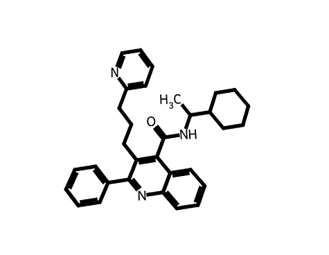 CC(NC(=O)c1c(CCCc2ccccn2)c(-c2ccccc2)nc2ccccc12)C1CCCCC1